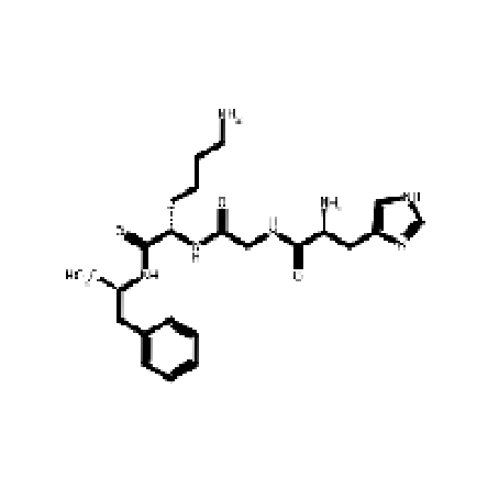 NCCCC[C@H](NC(=O)CNC(=O)[C@@H](N)Cc1c[nH]cn1)C(=O)N[C@@H](Cc1ccccc1)C(=O)O